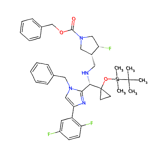 CC(C)(C)[Si](C)(C)OC1([C@@H](NC[C@@H]2CN(C(=O)OCc3ccccc3)C[C@@H]2F)c2nc(-c3cc(F)ccc3F)cn2Cc2ccccc2)CC1